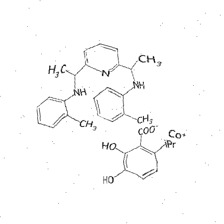 CC(C)c1ccc(O)c(O)c1C(=O)[O-].Cc1ccccc1NC(C)c1cccc(C(C)Nc2ccccc2C)n1.[Co+]